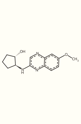 COc1ccc2nc(N[C@H]3CCC[C@@H]3O)cnc2c1